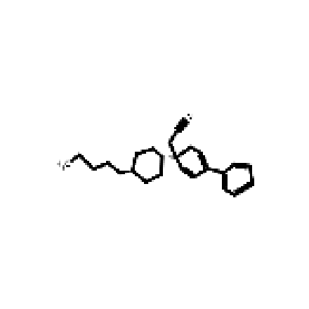 CCCCC[C@H]1CC[C@H](C2(CC#N)C=CC(c3ccccc3)=CC2)CC1